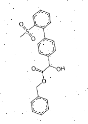 CS(=O)(=O)c1ccccc1-c1ccc(C(O)C(=O)OCc2ccccc2)cc1